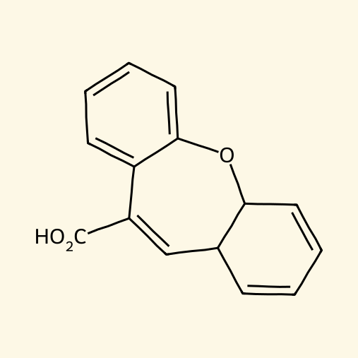 O=C(O)C1=CC2C=CC=CC2Oc2ccccc21